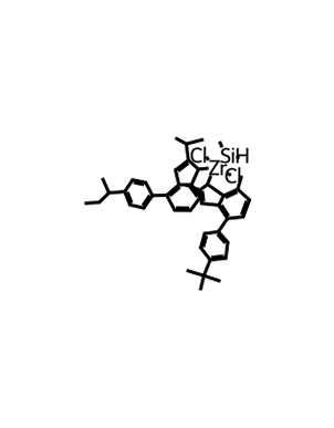 CCC(C)c1ccc(-c2cccc3c2C=C(C(C)C)[CH]3[Zr]([Cl])([Cl])([CH]2C(C)=Cc3c(-c4ccc(C(C)(C)C)cc4)ccc(C)c32)[SiH](C)C)cc1